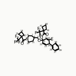 O=C(OC1(OCC2CCN(C(=O)C3(C(F)(F)F)CCC3)CC2)C=CC(c2ccccc2)C(F)=C1)C1(C(F)(F)F)CCC1